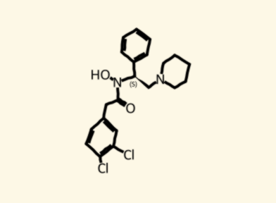 O=C(Cc1ccc(Cl)c(Cl)c1)N(O)[C@H](CN1CCCCC1)c1ccccc1